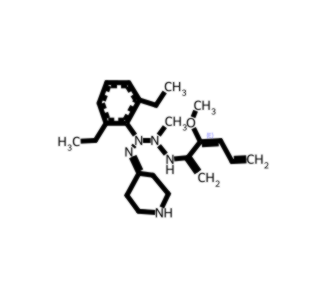 C=C/C=C(/OC)C(=C)NN(C)N(N=C1CCNCC1)c1c(CC)cccc1CC